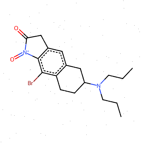 CCCN(CCC)C1CCc2c(cc3c(c2Br)[N+](=O)C(=O)C3)C1